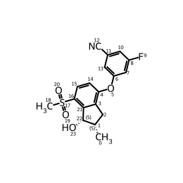 C[C@H]1Cc2c(Oc3cc(F)cc(C#N)c3)ccc(S(C)(=O)=O)c2[C@H]1O